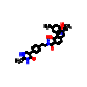 C=C1CC[C@@]2(O)[C@H]3Cc4ccc(C(=O)NCCc5ccc(C6=CNC(=C)NC6=O)cc5)c(O)c4[C@@]2(CCN3C)C1